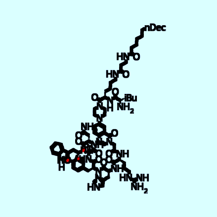 CCCCCCCCCCCCCCCC(=O)NCCC(=O)NCCCC[C@H](NC(=O)[C@@H](N)[C@@H](C)CC)C(=O)N1CCN(c2ccc3ncn(CC(=O)N[C@@H](CCCNC(=N)N)C(=O)N[C@@H](Cc4c[nH]cn4)C(=O)N[C@@H](Cc4ccc(O)cc4)C(=O)N[C@@H](CC(C)C)C(=O)N[C@@H](CC(N)=O)C(=O)N[C@@H](Cc4c[nH]c5ccccc45)C(C)=O)c(=O)c3c2)CC1